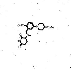 COC1CCN(c2ccc(C=O)c(CN(C)C3CCC(=O)NC3=O)c2)CC1